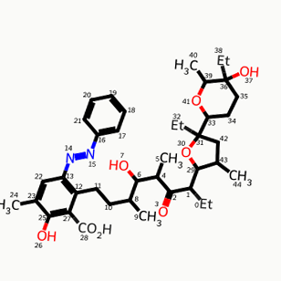 CCC(C(=O)C(C)C(O)C(C)CCc1c(N=Nc2ccccc2)cc(C)c(O)c1C(=O)O)C1OC(CC)(C2CCC(O)(CC)C(C)O2)CC1C